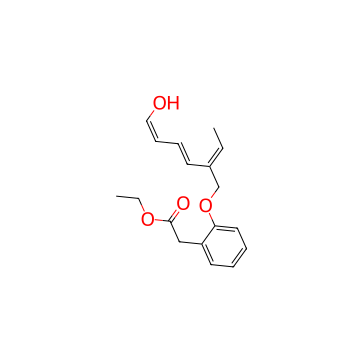 C\C=C(/C=C/C=C\O)COc1ccccc1CC(=O)OCC